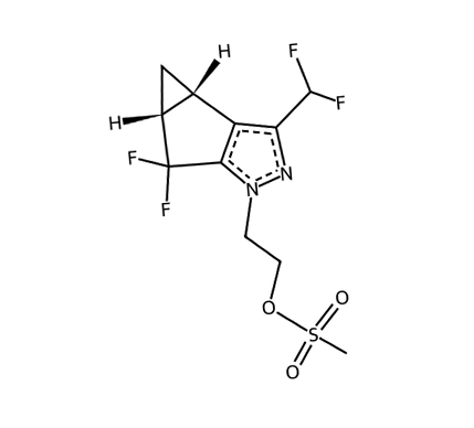 CS(=O)(=O)OCCn1nc(C(F)F)c2c1C(F)(F)[C@@H]1C[C@H]21